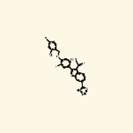 NC(=O)c1c(-c2ccc(OCc3ccc(F)cc3Cl)c(F)c2)sc2cc(-c3nnn[nH]3)ccc12